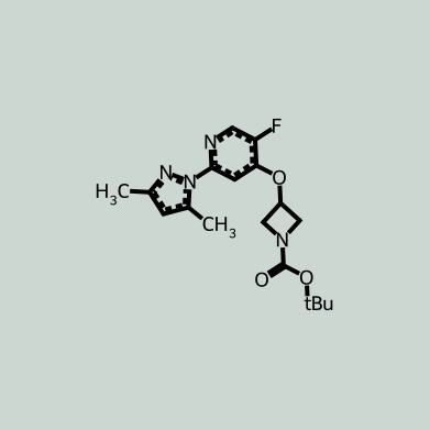 Cc1cc(C)n(-c2cc(OC3CN(C(=O)OC(C)(C)C)C3)c(F)cn2)n1